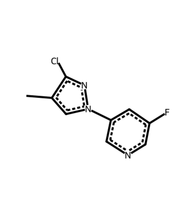 Cc1cn(-c2cncc(F)c2)nc1Cl